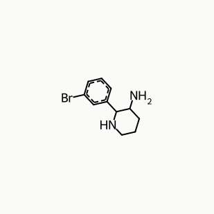 NC1CCCNC1c1cccc(Br)c1